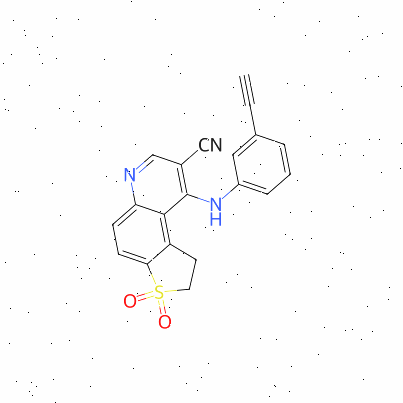 C#Cc1cccc(Nc2c(C#N)cnc3ccc4c(c23)CCS4(=O)=O)c1